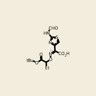 CCC(O/N=C(\C(=O)O)c1csc(NC=O)n1)C(=O)OC(C)(C)C